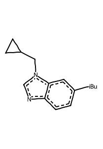 CCC(C)c1ccc2ncn(CC3CC3)c2c1